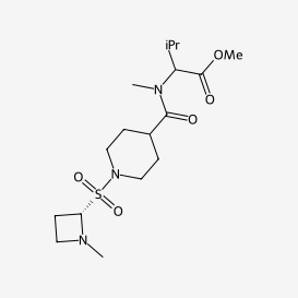 COC(=O)C(C(C)C)N(C)C(=O)C1CCN(S(=O)(=O)[C@H]2CCN2C)CC1